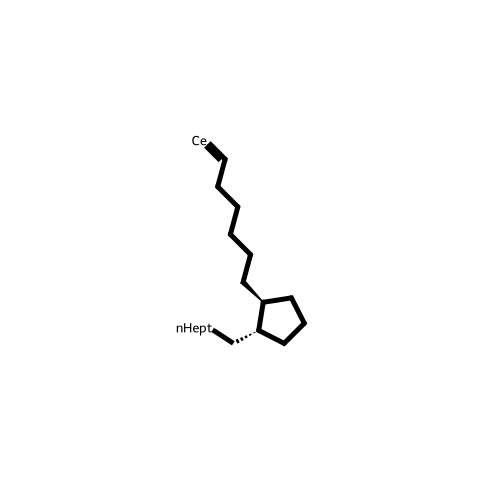 CCCCCCCC[C@H]1CCC[C@@H]1CCCCC[CH]=[Ce]